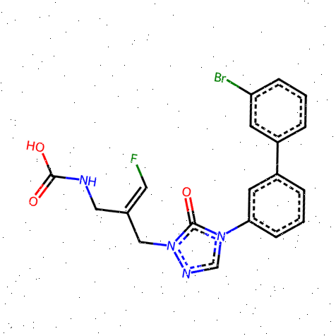 O=C(O)NCC(=CF)Cn1ncn(-c2cccc(-c3cccc(Br)c3)c2)c1=O